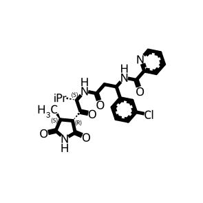 CC(C)[C@H](NC(=O)CC(NC(=O)c1ccccn1)c1cccc(Cl)c1)C(=O)[C@@H]1C(=O)NC(=O)[C@H]1C